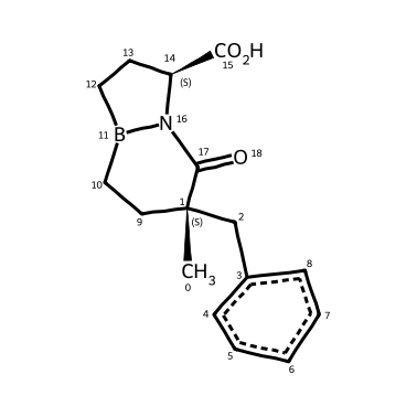 C[C@@]1(Cc2ccccc2)CCB2CC[C@@H](C(=O)O)N2C1=O